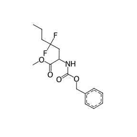 CCCC(F)(F)CC(NC(=O)OCc1ccccc1)C(=O)OC